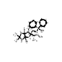 CCCCO[C@H](C)[C@]1(CO[Si](c2ccccc2)(c2ccccc2)C(C)(C)C)O[C@@H]2OC(C)(C)O[C@@H]2[C@H]1O